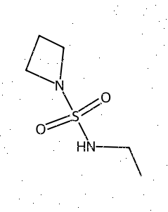 CCNS(=O)(=O)N1CCC1